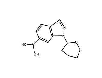 OB(O)c1ccc2cnn(C3CCCCO3)c2c1